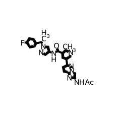 CC(=O)Nc1cn2nc(-c3cnc(C)c(C(=O)Nc4cnn(C(C)c5ccc(F)cc5)c4)c3)ccc2n1